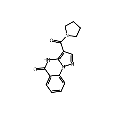 O=C(c1cnn2c1[nH]c(=O)c1ccccc12)N1CCCC1